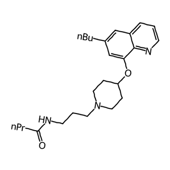 CCCCc1cc(OC2CCN(CCCNC(=O)CCC)CC2)c2ncccc2c1